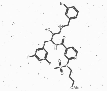 CCc1cccc(CNC[C@H](O)[C@H](Cc2cc(F)cc(F)c2)NC(=O)c2ccnc(N(CCCOC)S(C)(=O)=O)c2)c1